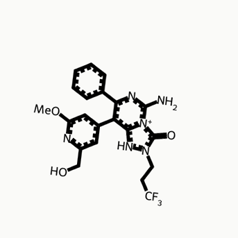 COc1cc(-c2c(-c3ccccc3)nc(N)[n+]3c(=O)n(CCC(F)(F)F)[nH]c23)cc(CO)n1